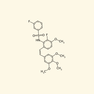 COc1ccc(/C=C\c2cc(OC)c(OC)c(OC)c2)c(NS(=O)(=O)c2cccc(F)c2)c1F